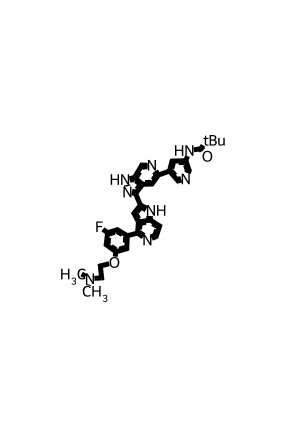 CN(C)CCOc1cc(F)cc(-c2nccc3[nH]c(-c4n[nH]c5cnc(-c6cncc(NC(=O)C(C)(C)C)c6)cc45)cc23)c1